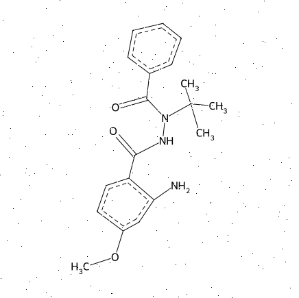 COc1ccc(C(=O)NN(C(=O)c2ccccc2)C(C)(C)C)c(N)c1